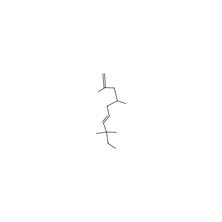 C=C(C)CC(C)CC=CC(C)(C)CC